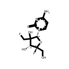 Nc1ccn([C@@H]2O[C@](F)(CO)[C@H](O)C2(O)CF)c(=S)n1